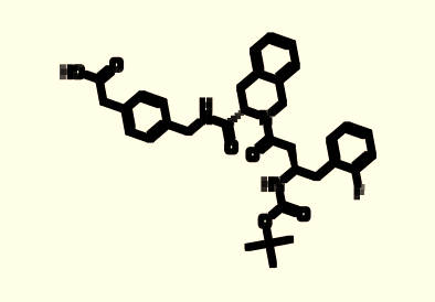 CC(C)(C)OC(=O)N[C@@H](CC(=O)N1Cc2ccccc2C[C@H]1C(=O)NCc1ccc(CC(=O)O)cc1)Cc1ccccc1F